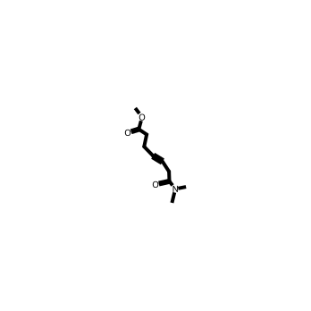 COC(=O)CCC#CCC(=O)N(C)C